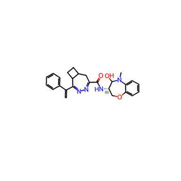 C=C(C1=NN=C(C(=O)N[C@H]2COc3ccccc3N(C)C2O)CC2CCC12)c1ccccc1